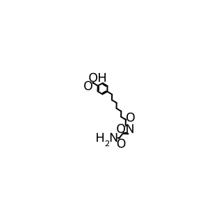 NC(=O)c1cnc(C(=O)CCCCCCc2ccc(C(=O)O)cc2)o1